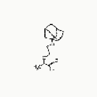 CC(OCCOC12CC3CC(CC(C3)C1)C2)C([O])=O